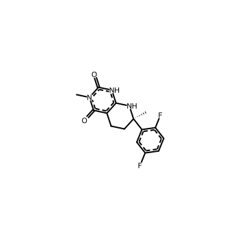 Cn1c(=O)[nH]c2c(c1=O)CC[C@](C)(c1cc(F)ccc1F)N2